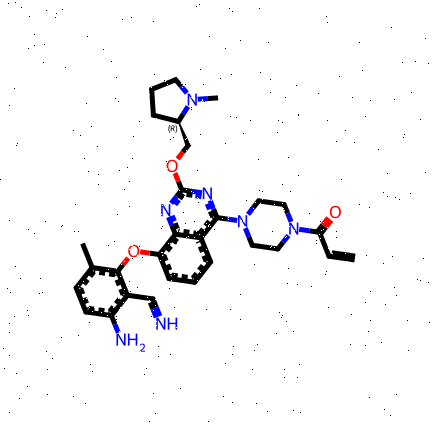 C=CC(=O)N1CCN(c2nc(OC[C@H]3CCCN3C)nc3c(Oc4c(C)ccc(N)c4C=N)cccc23)CC1